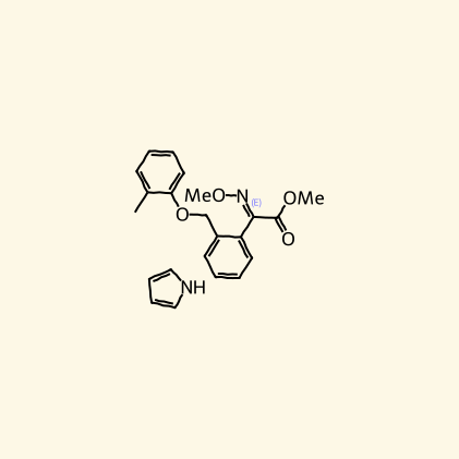 CO/N=C(/C(=O)OC)c1ccccc1COc1ccccc1C.c1cc[nH]c1